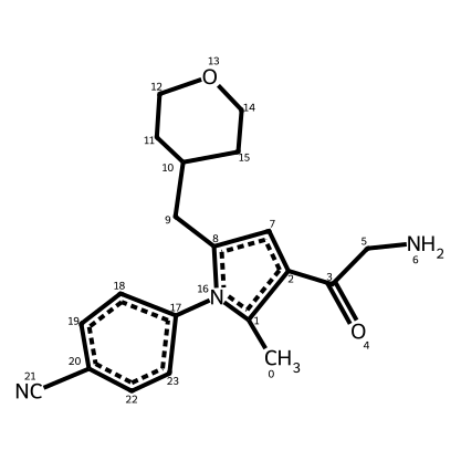 Cc1c(C(=O)CN)cc(CC2CCOCC2)n1-c1ccc(C#N)cc1